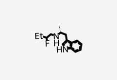 CCC(F)CN[C@H](C)Cc1c[nH]c2ccccc12